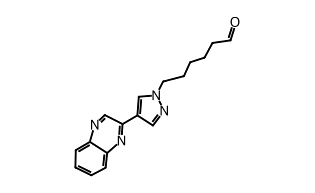 O=CCCCCCn1cc(-c2cnc3ccccc3n2)cn1